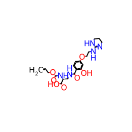 C=CCOC(=O)N[C@@H](CNC(=O)c1ccc(OCCNC2=NCCCN2)cc1O)C(=O)O